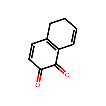 O=C1C=CC2=C(C=CCC2)C1=O